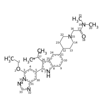 CCOc1cc(-c2[nH]c3ccc(C4CCN(CC(=O)N(C)C)CC4)cc3c2C(C)C)cc2ncnn12